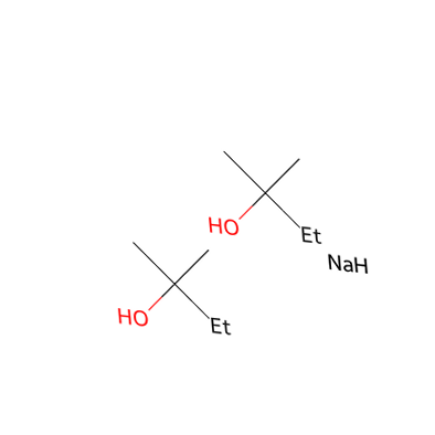 CCC(C)(C)O.CCC(C)(C)O.[NaH]